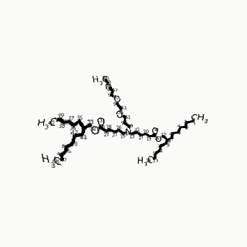 CCCCCCCCC(CCCCCC)COC(=O)CCCCCN(CCCCCC(=O)OCC(CCCCCC)CCCCCCCC)CCCOCCOCCOCC